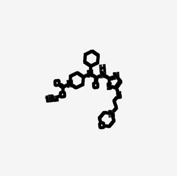 CC(C)(C)OC(=O)N1CCC(N(C(=O)Nc2ncc(SCCN3CCOCC3)s2)C2CCCCC2)CC1